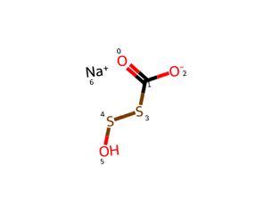 O=C([O-])SSO.[Na+]